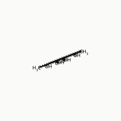 CCCCCCC(O)CCCCCCCCCC(CCCCCC(CCCCCCCCCC(O)CCCCCC)C(=O)O)C(=O)O